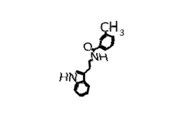 Cc1cccc(C(=O)NCCc2c[nH]c3ccccc23)c1